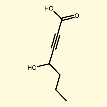 CCCC(O)C#CC(=O)O